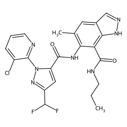 CCCNC(=O)c1c(NC(=O)c2cc(C(F)F)nn2-c2ncccc2Cl)c(C)cc2cn[nH]c12